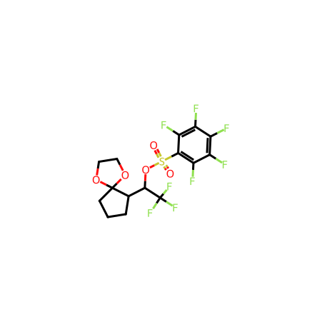 O=S(=O)(OC(C1CCCC12OCCO2)C(F)(F)F)c1c(F)c(F)c(F)c(F)c1F